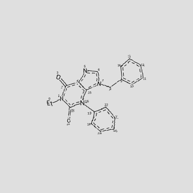 CCn1c(=O)c2ncn(Cc3ccccc3)c2n(-c2ccccc2)c1=O